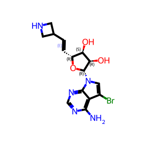 Nc1ncnc2c1c(Br)cn2[C@@H]1O[C@H](/C=C/C2CNC2)[C@@H](O)[C@H]1O